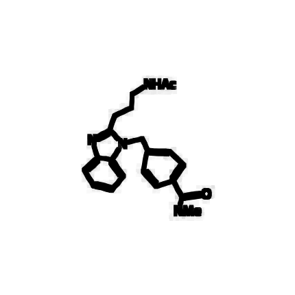 CNC(=O)c1ccc(Cn2c(CCCNC(C)=O)nc3ccccc32)cc1